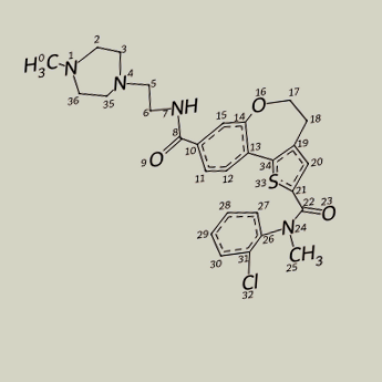 CN1CCN(CCNC(=O)c2ccc3c(c2)OCCc2cc(C(=O)N(C)c4ccccc4Cl)sc2-3)CC1